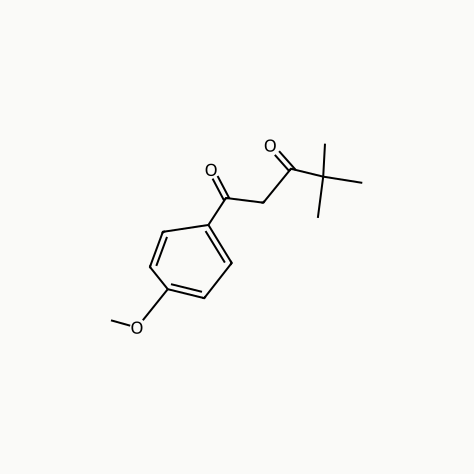 COc1ccc(C(=O)CC(=O)C(C)(C)C)cc1